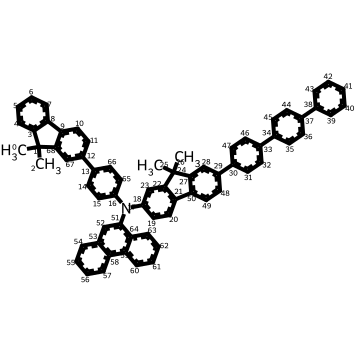 CC1(C)c2ccccc2-c2ccc(-c3ccc(N(c4ccc5c(c4)C(C)(C)c4cc(-c6ccc(-c7ccc(-c8ccccc8)cc7)cc6)ccc4-5)c4cc5ccccc5c5ccccc45)cc3)cc21